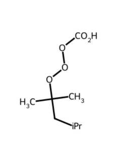 CC(C)CC(C)(C)OOOC(=O)O